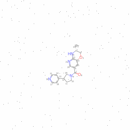 CC(C)[C@@H]1COc2cc(C(=O)N3CCC(c4ccncc4)C3)cnc2N1